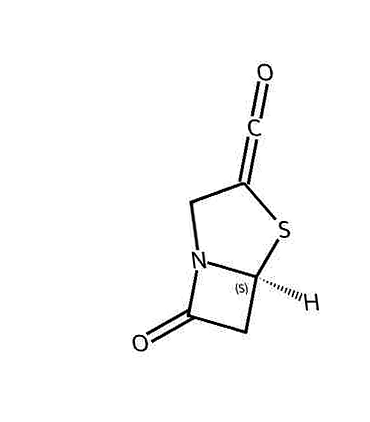 O=C=C1CN2C(=O)C[C@@H]2S1